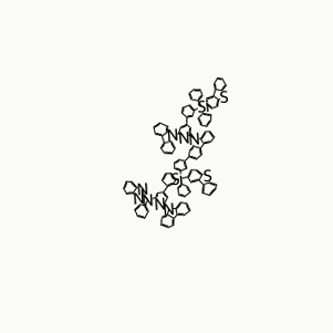 c1ccc([Si](c2ccccc2)(c2cccc(-c3cc(-n4c5ccccc5c5ccccc54)nc(-n4c5ccccc5c5ccc(-c6cccc([Si](c7ccccc7)(c7cccc(-c8cc(-n9c%10ccccc%10c%10ccccc%109)nc(-n9c%10ccccc%10n%10c%11ccccc%11nc9%10)c8)c7)c7ccc8sc9ccccc9c8c7)c6)cc54)c3)c2)c2ccc3sc4ccccc4c3c2)cc1